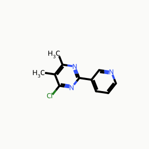 Cc1nc(-c2cccnc2)nc(Cl)c1C